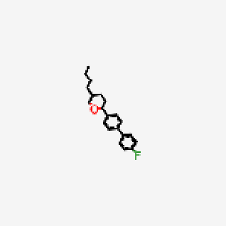 CCCCC1CCC(c2ccc(-c3ccc(F)cc3)cc2)OC1